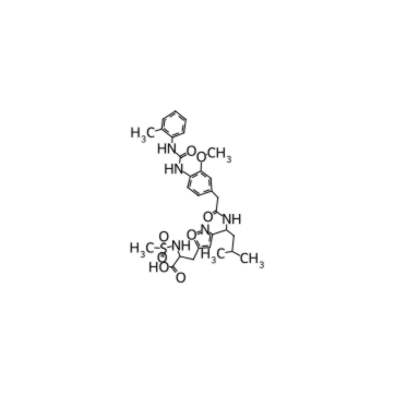 COc1cc(CC(=O)NC(CC(C)C)c2cc(CC(NS(C)(=O)=O)C(=O)O)on2)ccc1NC(=O)Nc1ccccc1C